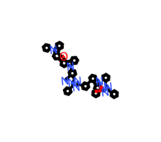 N#Cc1cc(-n2c3ccccc3c3c4oc5c(ccc6c5c5ccccc5n6-c5ccccc5)c4ccc32)ccc1-c1nc(-c2ccccc2)nc(-c2cccc(-c3cccc4c3c3ccccc3n4-c3ccccc3-c3nc(-c4ccccc4)nc(-c4ccccc4)n3)c2)n1